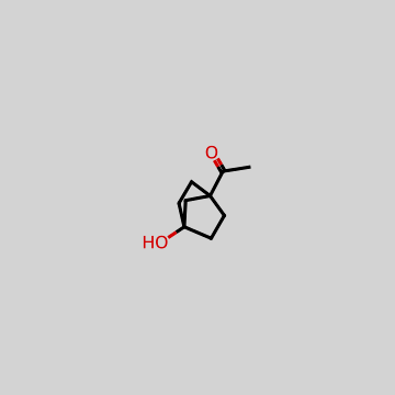 CC(=O)C12CCC(O)(CC1)C2